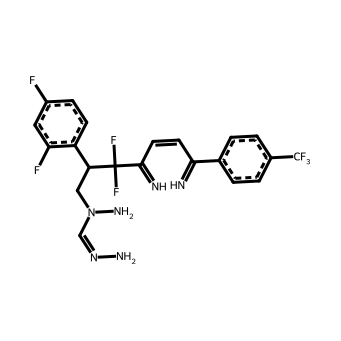 N=C(/C=C\C(=N)C(F)(F)C(CN(N)/C=N\N)c1ccc(F)cc1F)c1ccc(C(F)(F)F)cc1